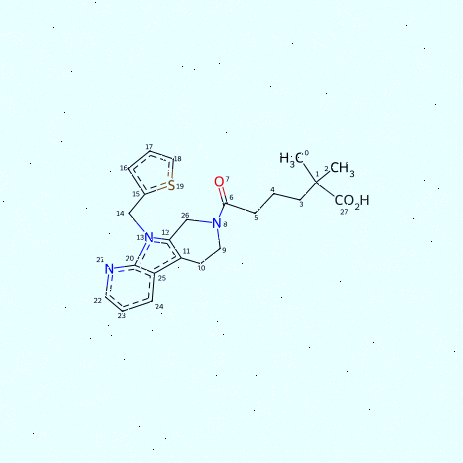 CC(C)(CCCC(=O)N1CCc2c(n(Cc3cccs3)c3ncccc23)C1)C(=O)O